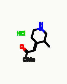 COC(=O)C=C1CCNCC1C.Cl